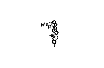 COc1cccc2c1C(Nc1ccc3c(NC(=O)Cc4ccc(F)cc4)cccc3n1)CC2